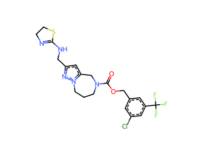 O=C(OCc1cc(Cl)cc(C(F)(F)F)c1)N1CCCn2nc(CNC3=NCCS3)cc2C1